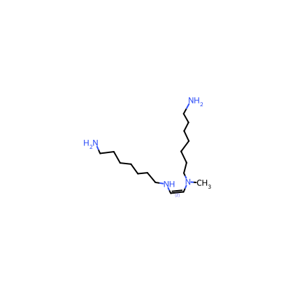 CN(/C=C\NCCCCCCCN)CCCCCCCN